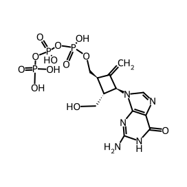 C=C1[C@@H](n2cnc3c(=O)[nH]c(N)nc32)[C@H](CO)[C@H]1COP(=O)(O)OP(=O)(O)OP(=O)(O)O